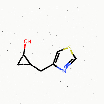 O[C]1CC1Cc1cscn1